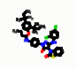 CCCC(Nc1ccc(N2N=C(Nc3ccc(Cl)cc3Cl)C(n3c(=O)sc4ccccc43)C2=O)cc1)Oc1ccc(C(C)(C)CC)cc1C(C)(C)CC